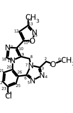 COCc1nnc2n1Cc1c(-c3cc(C)no3)ncn1-c1ccc(Cl)cc1-2